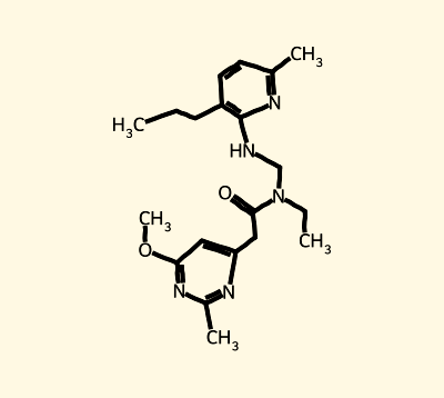 CCCc1ccc(C)nc1NCN(CC)C(=O)Cc1cc(OC)nc(C)n1